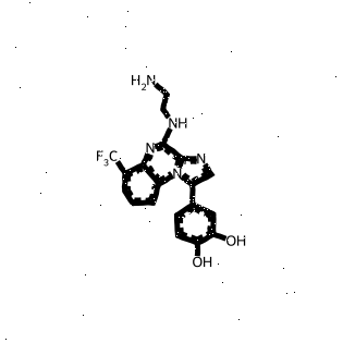 NCCNc1nc2c(C(F)(F)F)cccc2n2c(-c3ccc(O)c(O)c3)cnc12